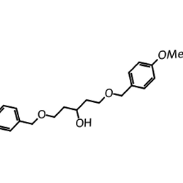 COc1ccc(COCCC(O)CCOCc2ccccc2)cc1